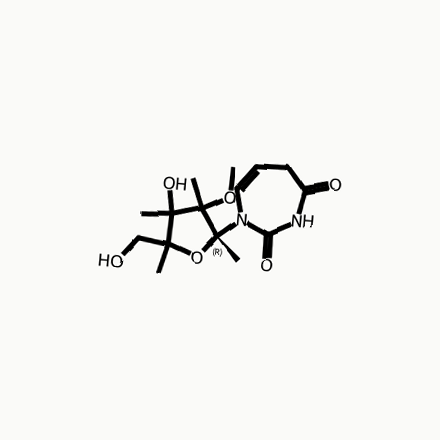 COC1(C)C(C)(O)C(C)(CO)O[C@@]1(C)N1C=CCC(=O)NC1=O